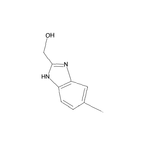 Cc1ccc2[nH]c(CO)nc2c1